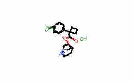 Cl.O=C(OC1CN2CCC1CC2)C1(c2ccc(Cl)cc2)CCC1